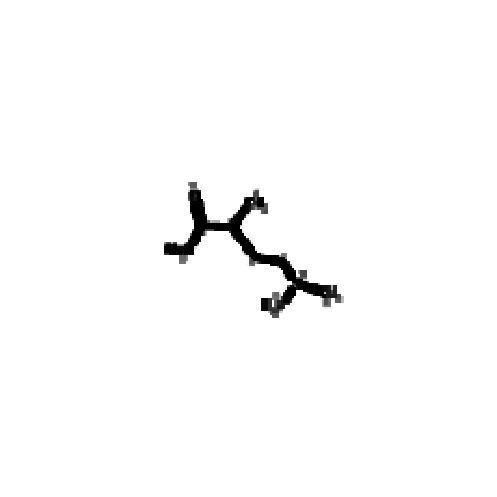 COC(=O)C(C)CCN(C)P